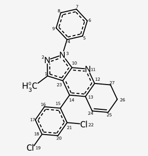 Cc1nn(-c2ccccc2)c2nc3c(c(-c4ccc(Cl)cc4Cl)c12)C=CCC3